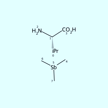 CC(C)[C@H](N)C(=O)O.[CH3][Sb]([CH3])[CH3]